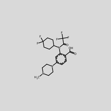 CN1CCN(c2ccc(C(=O)O)c(N(C(=O)C(F)(F)F)C3CCC(F)(F)CC3)c2)CC1